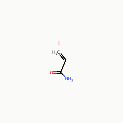 B.C=CC(N)=O